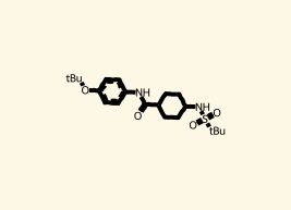 CC(C)(C)Oc1ccc(NC(=O)C2CCC(NS(=O)(=O)C(C)(C)C)CC2)cc1